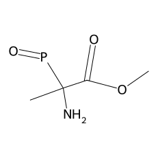 COC(=O)C(C)(N)P=O